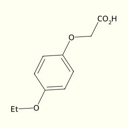 [CH2]COc1ccc(OCC(=O)O)cc1